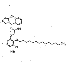 Br.CCCCCCCCCCCCCCOc1c(Cl)cccc1OCC(=O)Nc1ccccc1CN1CSC=C1C